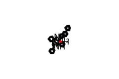 N=C(OC(N)C1C=CC=CC1C1=CC(C2=CC=CCC2)NC(c2ccccc2)=N1)c1ccc2cc(-c3ccccc3)ccc2c1